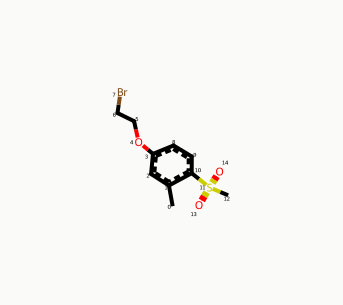 Cc1cc(OCCBr)ccc1S(C)(=O)=O